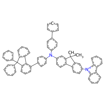 CC1(C)c2cc(N(c3ccc(-c4ccccc4)cc3)c3ccc(-c4cccc5c4-c4ccccc4C5(c4ccccc4)c4ccccc4)cc3)ccc2-c2ccc(-n3c4ccccc4c4ccccc43)cc21